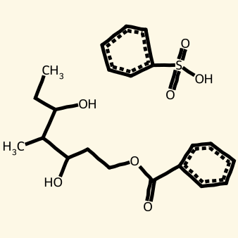 CCC(O)C(C)C(O)CCOC(=O)c1ccccc1.O=S(=O)(O)c1ccccc1